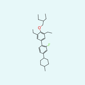 CCc1cc(-c2ccc(C3CCC(C)CC3)cc2F)cc(CC)c1OCC(CC)CC